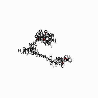 COc1cc(C(=O)NCCOCCOCCOCCOCCC(=O)N[C@@H](C(=O)N[C@@H](CCCNC(N)=O)C(=O)Nc2ccc(COC(=O)O[C@@H](C(=O)O[C@H]3C[C@@]4(O)[C@@H](OC(=O)c5ccccc5)C5[C@](C)(C(=O)[C@H](OC(C)=O)C(=C3C)C4(C)C)[C@@H](O)C[C@H]3OC[C@@]53OC(C)=O)[C@@H](NC(=O)c3ccccc3)c3ccccc3)cc2)C(C)C)ccc1NC(=O)[C@@H]1N[C@@H](CC(C)(C)C)[C@](C#N)(c2ccc(Cl)cc2)[C@H]1c1cccc(Cl)c1F